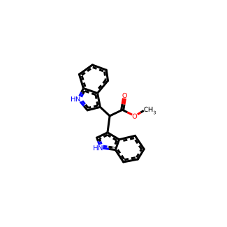 COC(=O)C(c1c[nH]c2ccccc12)c1c[nH]c2ccccc12